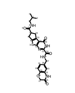 CC(C)CNC(=O)C1Cc2sc3nc(C(=O)NCc4ccc5c(c4)NC(=O)CO5)[nH]c(=O)c3c2C1